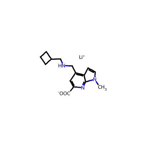 Cn1ccc2c(CNCC3CCC3)cc(C(=O)[O-])nc21.[Li+]